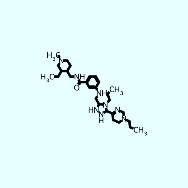 CCCN1CCC(C2NNC(CNc3cccc(C(=O)NCC4CCN(C)CC4CC)c3)N2CCC)=NC1